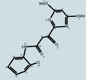 COc1cc(OC)nc(C(=O)CC(=O)Nc2ccccc2Cl)n1